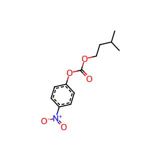 CC(C)CCOC(=O)Oc1ccc([N+](=O)[O-])cc1